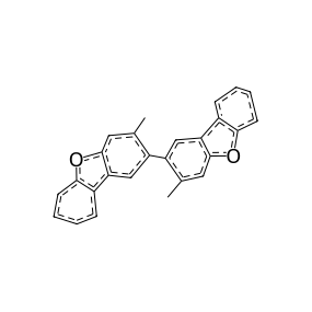 Cc1cc2oc3ccccc3c2cc1-c1cc2c(cc1C)oc1ccccc12